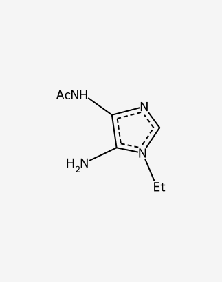 CCn1cnc(NC(C)=O)c1N